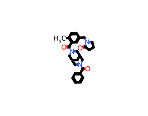 Cc1ccc(CN2CCCC2=O)cc1C(=O)N1CC2CC(CN(C(=O)c3ccccc3)C2)C1